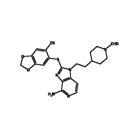 N#Cc1cc2c(cc1Sc1nc3c(N)nccc3n1CCC1CCN(C=O)CC1)OCO2